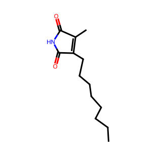 CCCCCCCCC1=C(C)C(=O)NC1=O